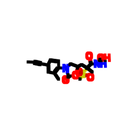 CC#Cc1ccc(N2CC(CC(C)(C(=O)NO)S(C)(=O)=O)OC2=O)c(C)c1